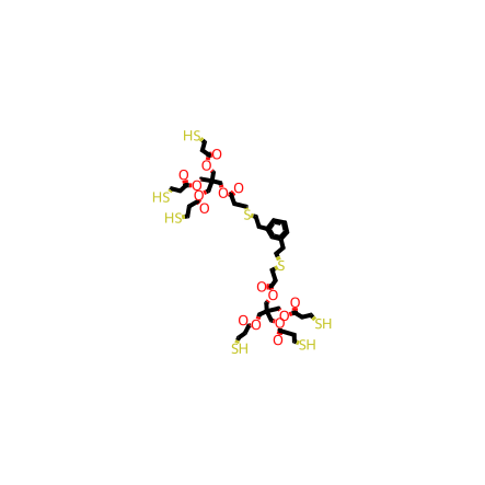 O=C(CCS)OCC(COC(=O)CCS)(COC(=O)CCS)COC(=O)CCSCCc1cccc(CCSCCC(=O)OCC(COC(=O)CCS)(COC(=O)CCS)COC(=O)CCS)c1